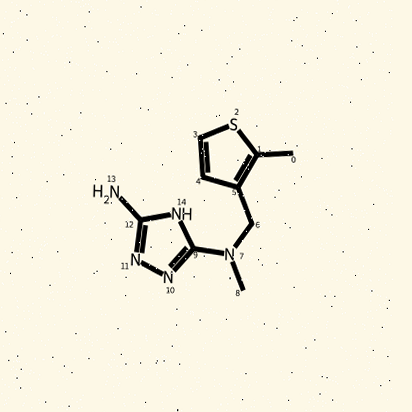 Cc1sccc1CN(C)c1nnc(N)[nH]1